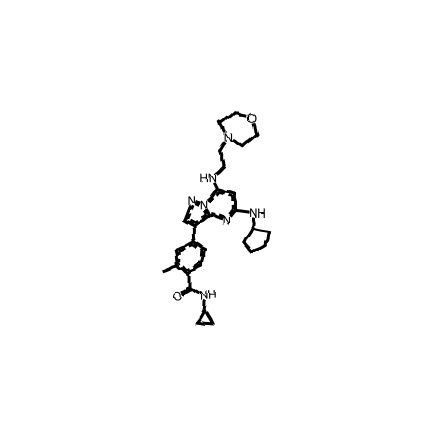 Cc1cc(-c2cnn3c(NCCN4CCOCC4)cc(NC4CCCC4)nc23)ccc1C(=O)NC1CC1